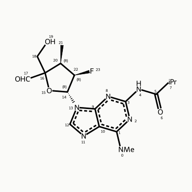 CNc1nc(NC(=O)C(C)C)nc2c1ncn2[C@@H]1OC(C=O)(CO)[C@@H](C)[C@H]1F